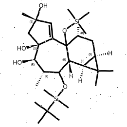 C[C@@H]1C[C@@H]2[C@H]([C@@H]3C(O[Si](C)(C)C(C)(C)C)[C@H](C)[C@@H](O)[C@]4(O)C[C@](C)(O)C=C4C13O[Si](C)(C)C)C2(C)C